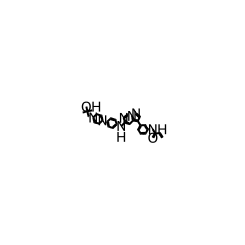 C=CC(=O)Nc1cccc(-c2cnn3cnc(Nc4ccc(N5CCN(CC(C)(C)O)CC5)cc4)cc23)c1